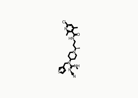 CN/C(=N\C#N)N(Cc1ccsc1)C1CCN([C@H](C)CCNC(=O)c2c(C)cc(Cl)nc2C)CC1